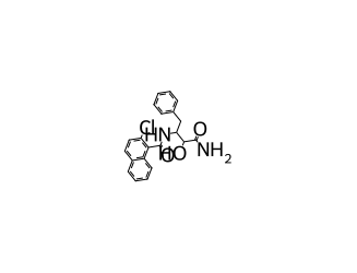 NC(=O)C(O)C(Cc1ccccc1)NC(=O)c1c(Cl)ccc2ccccc12